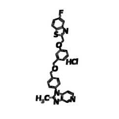 Cc1nc2cnccc2n1-c1ccc(COCc2cccc(OCc3nc4cc(F)ccc4s3)c2)cc1.Cl